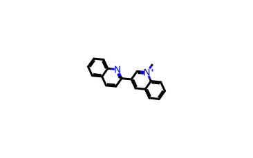 C[n+]1cc(-c2ccc3ccccc3n2)cc2ccccc21